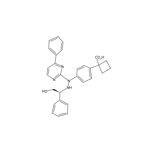 O=C(O)C1(c2ccc(N(N[C@H](CO)c3ccccc3)c3nccc(-c4ccccc4)n3)cc2)CCC1